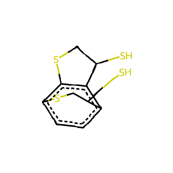 SC1CSc2ccc1c1c2SCC1S